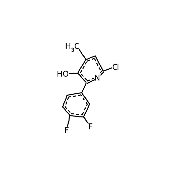 Cc1cc(Cl)nc(-c2ccc(F)c(F)c2)c1O